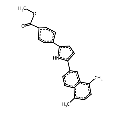 COC(=O)c1ccc(-c2ccc(-c3ccc4c(C)ccc(C)c4c3)[nH]2)cc1